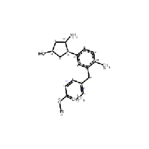 C=C(/C=C\C(=C/C)Cc1cc(P2CC(O)CC2N)ccc1C)OCC